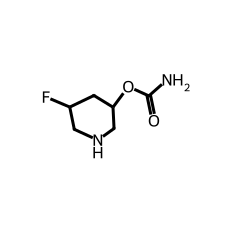 NC(=O)OC1CNCC(F)C1